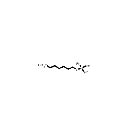 CC(C)[Si](OCCCCCCC(=O)O)(C(C)C)C(C)C